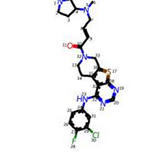 CN1CCC(N(C)C/C=C/C(=O)N2CCc3c(sc4ncnc(Nc5ccc(F)c(Cl)c5)c34)C2)C1